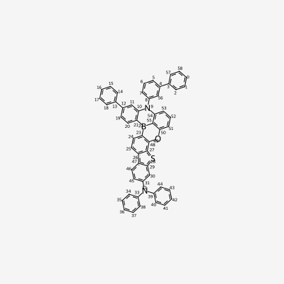 c1ccc(-c2cccc(N3c4cc(-c5ccccc5)ccc4B4c5ccc6c(sc7cc(N(c8ccccc8)c8ccccc8)ccc76)c5Oc5cccc3c54)c2)cc1